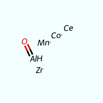 [Ce].[Co].[Mn].[O]=[AlH].[Zr]